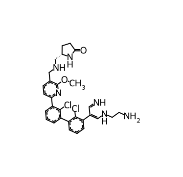 COc1nc(-c2cccc(-c3cccc(/C(C=N)=C/NCCN)c3Cl)c2Cl)ccc1CNC[C@@H]1CCC(=O)N1